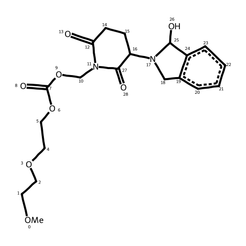 COCCOCCOC(=O)OCN1C(=O)CCC(N2Cc3ccccc3C2O)C1=O